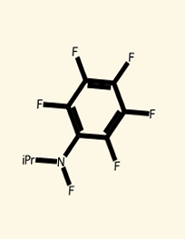 CC(C)N(F)c1c(F)c(F)c(F)c(F)c1F